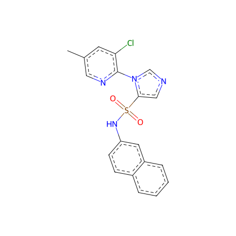 Cc1cnc(-n2cncc2S(=O)(=O)Nc2ccc3ccccc3c2)c(Cl)c1